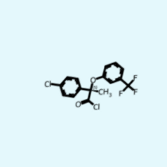 C[C@@](Oc1cccc(C(F)(F)F)c1)(C(=O)Cl)c1ccc(Cl)cc1